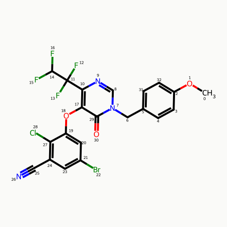 COc1ccc(Cn2cnc(C(F)(F)C(F)F)c(Oc3cc(Br)cc(C#N)c3Cl)c2=O)cc1